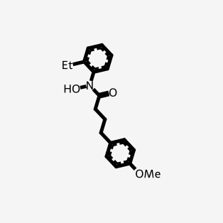 CCc1ccccc1N(O)C(=O)CCCc1ccc(OC)cc1